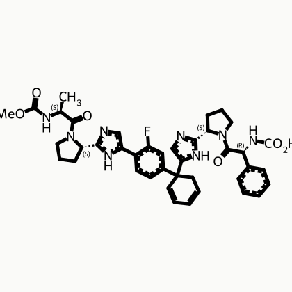 COC(=O)N[C@@H](C)C(=O)N1CCC[C@H]1c1ncc(-c2ccc(C3(c4cnc([C@@H]5CCCN5C(=O)[C@H](NC(=O)O)c5ccccc5)[nH]4)C=CC=CC3)cc2F)[nH]1